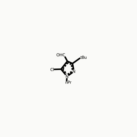 CCCn1nc(C(C)(C)C)c(C=O)c1Cl